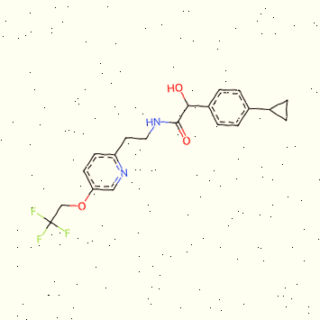 O=C(NCCc1ccc(OCC(F)(F)F)cn1)C(O)c1ccc(C2CC2)cc1